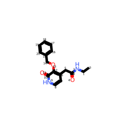 CCNC(=O)Cc1cc[nH]c(=O)c1OCc1ccccc1